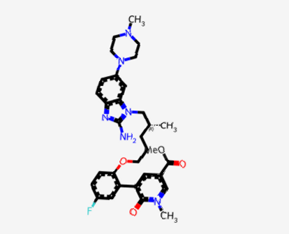 COC(=O)c1cc(-c2cc(F)ccc2OCCC[C@@H](C)Cn2c(N)nc3ccc(N4CCN(C)CC4)cc32)c(=O)n(C)c1